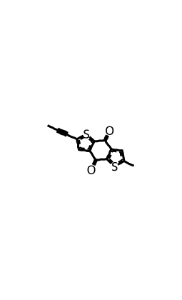 CC#Cc1cc2c(s1)C(=O)c1cc(C)sc1C2=O